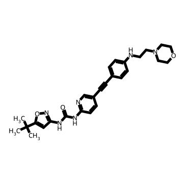 CC(C)(C)c1cc(NC(=O)Nc2ccc(C#Cc3ccc(NCCN4CCOCC4)cc3)cn2)no1